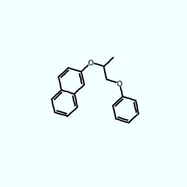 CC(COc1ccccc1)Oc1ccc2ccccc2c1